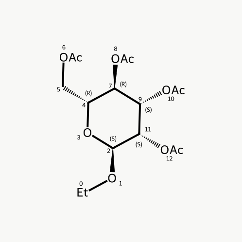 [CH2]CO[C@H]1O[C@H](COC(C)=O)[C@@H](OC(C)=O)[C@H](OC(C)=O)[C@@H]1OC(C)=O